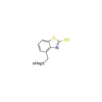 CCCCCCCCc1cccc2sc(S)nc12